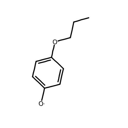 CCCOc1ccc([O])cc1